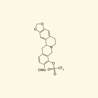 COc1ccc2c(c1OS(=O)(=O)C(F)(F)F)CN1CCc3cc4c(cc3C1C2)OCO4